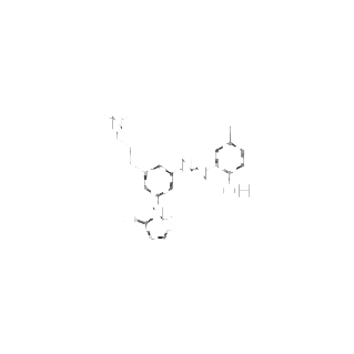 Cc1ccc(O)c(N=Nc2cc(CCCN(C)C)cc(-n3sccc3=O)c2)c1